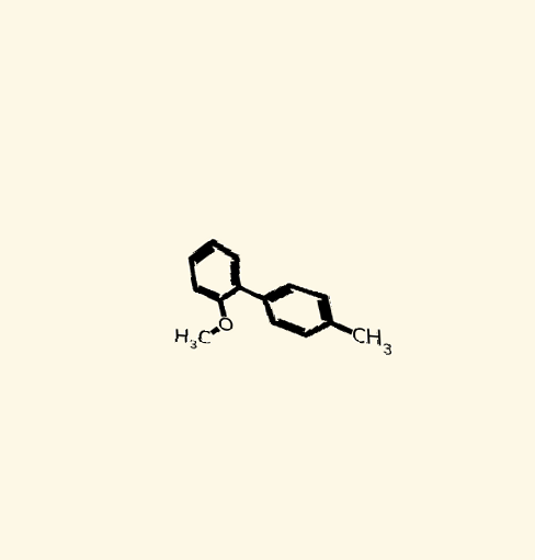 COc1ccccc1-c1ccc(C)cc1